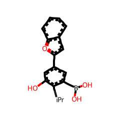 CC(C)c1c(O)cc(-c2cc3ccccc3o2)cc1B(O)O